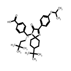 CC(C)Oc1ccc(C2=NC3(CCC(C(C)(C)C)CC3)N([C@H](CCC(C)(C)C)c3ccc(C(=O)O)cc3)C2=O)cc1